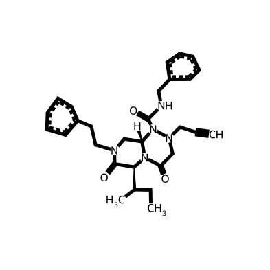 C#CCN1CC(=O)N2[C@@H](C(C)CC)C(=O)N(CCc3ccccc3)C[C@@H]2N1C(=O)NCc1ccccc1